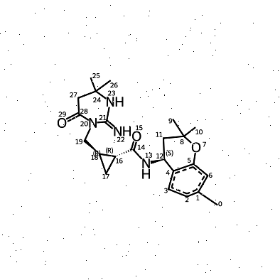 Cc1ccc2c(c1)OC(C)(C)C[C@@H]2NC(=O)[C@@H]1C[C@H]1CN1C(=N)NC(C)(C)CC1=O